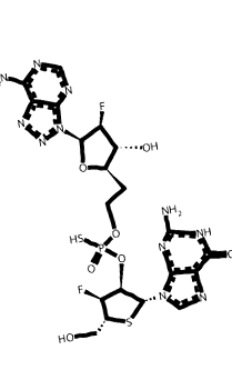 Nc1nc2c(ncn2[C@@H]2S[C@H](CO)[C@@H](F)[C@H]2OP(=O)(S)OCC[C@H]2O[C@@H](n3nnc4c(N)ncnc43)[C@@H](F)[C@@H]2O)c(=O)[nH]1